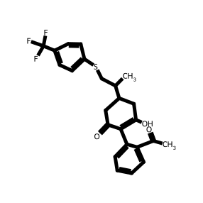 CC(=O)c1ccccc1C1=C(O)CC(C(C)CSc2ccc(C(F)(F)F)cc2)CC1=O